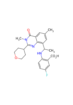 Cc1cc(C(C)Nc2ccc(F)cc2C(=O)O)c2nc(C3CCOCC3)n(C)c(=O)c2c1